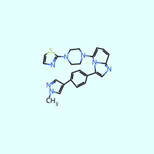 Cn1cc(-c2ccc(-c3cnc4cccc(N5CCN(c6nccs6)CC5)n34)cc2)cn1